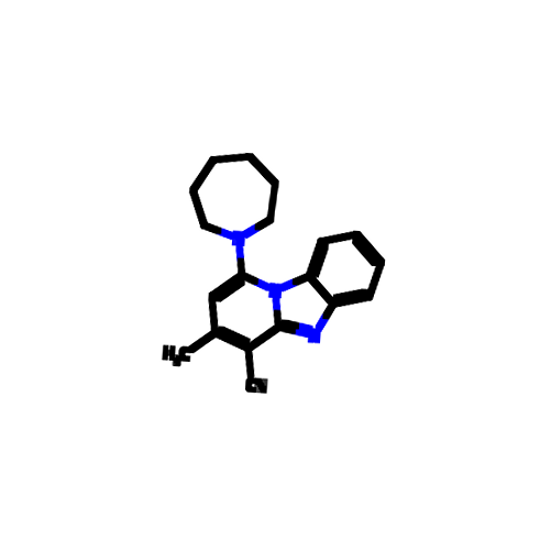 Cc1cc(N2CCCCCC2)n2c(nc3ccccc32)c1C#N